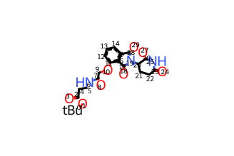 CC(C)(C)OC(=O)CCNC(=O)COc1cccc2c1C(=O)N(C1CCC(=O)NC1=O)C2=O